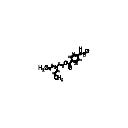 C=CCN(CC=C)CCOC(=O)c1ccc(NC=O)cc1